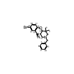 CC1(C)CN(Cc2ccccc2)CCC1Oc1ccc(Br)cc1C#N